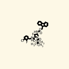 CC(C)(C)OC(=O)N1C[C@@H](NC(=O)OCC2c3ccccc3-c3ccccc32)[C@H](F)[C@H]1C(=O)NCc1cccc(Cl)c1F